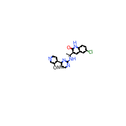 COc1cnccc1-c1ccnc(N[C@@H](C)c2cc3cc(Cl)ccc3[nH]c2=O)n1